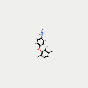 Cc1ccc(C)c(Oc2ccc([N+]#N)cc2)c1C